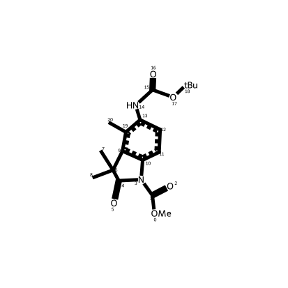 COC(=O)N1C(=O)C(C)(C)c2c1ccc(NC(=O)OC(C)(C)C)c2C